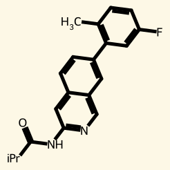 Cc1ccc(F)cc1-c1ccc2cc(NC(=O)C(C)C)ncc2c1